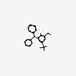 CCc1cc(C(C)(C)C)cc(C(c2ccccc2)c2ccccc2)c1N